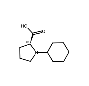 O=C(O)[C@@H]1CCCN1C1CCCCC1